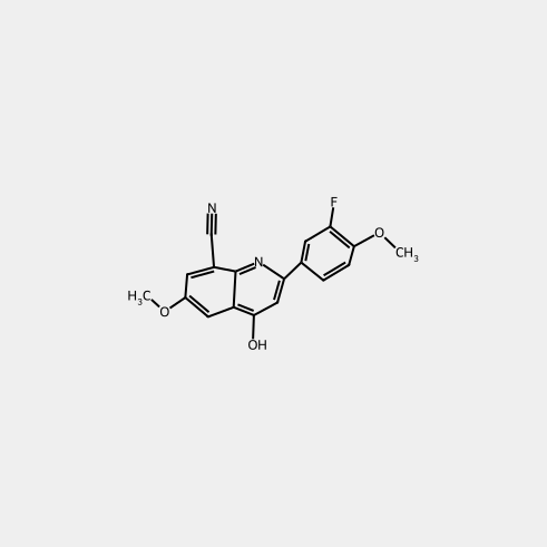 COc1cc(C#N)c2nc(-c3ccc(OC)c(F)c3)cc(O)c2c1